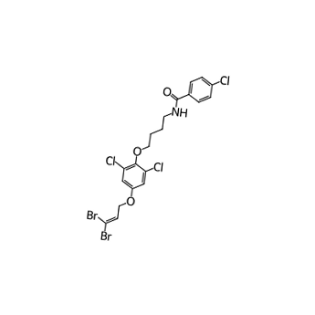 O=C(NCCCCOc1c(Cl)cc(OCC=C(Br)Br)cc1Cl)c1ccc(Cl)cc1